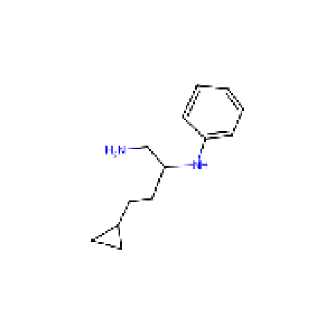 NCC(CCC1CC1)Nc1ccccc1